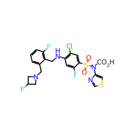 O=C(O)N(c1cscn1)S(=O)(=O)c1cc(Cl)c(NCc2c(F)cccc2CN2CC(F)C2)cc1F